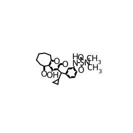 CN(C)S(=O)(=O)Nc1cccc(C(c2c(O)c3c(oc2=O)CCCCCC3=O)C2CC2)c1